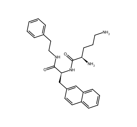 NCCC[C@@H](N)C(=O)N[C@@H](Cc1ccc2ccccc2c1)C(=O)NCCc1ccccc1